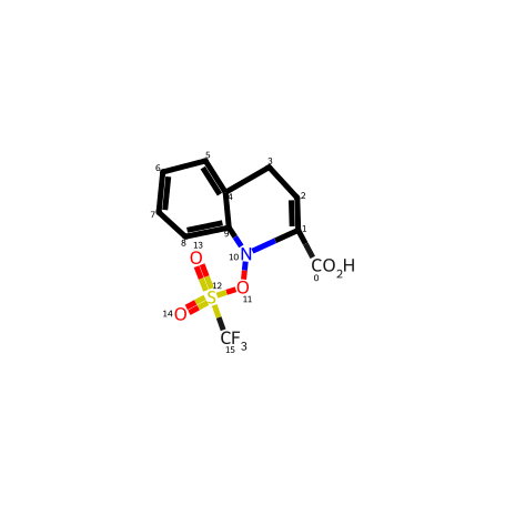 O=C(O)C1=CCc2ccccc2N1OS(=O)(=O)C(F)(F)F